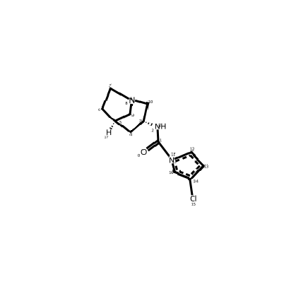 O=C(N[C@@H]1C[C@H]2CCN(C2)C1)n1ccc(Cl)c1